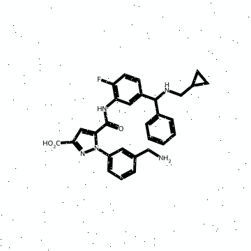 NCc1cccc(-n2nc(C(=O)O)cc2C(=O)Nc2cc(C(NCC3CC3)c3ccccc3)ccc2F)c1